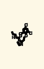 CCCNC(=O)n1ccnc1CCOc1c(Cl)cc(Cl)cc1Cl